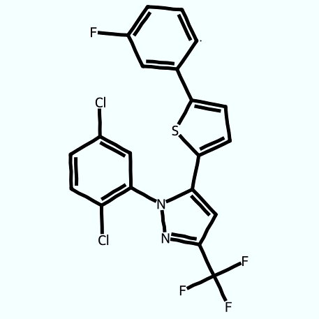 Fc1cc[c]c(-c2ccc(-c3cc(C(F)(F)F)nn3-c3cc(Cl)ccc3Cl)s2)c1